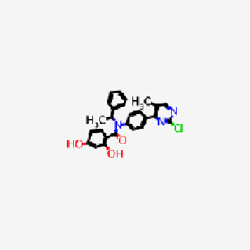 Cc1cnc(Cl)nc1-c1ccc(N(C(=O)c2ccc(O)cc2O)C(C)c2ccccc2)cc1